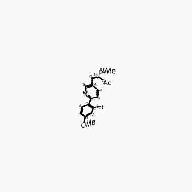 CCc1cc(OC)ccc1-c1ccc(C[C@H](NC)C(C)=O)cn1